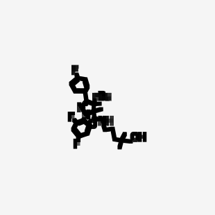 CCCCC1(C)C(c2ccc(F)cc2)=NN(c2ccc(F)cc2F)C1(C)C(=O)NCCCC(C)(C)CO